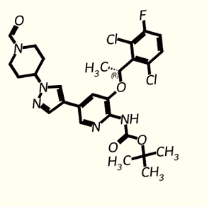 C[C@@H](Oc1cc(-c2cnn(C3CCN(C=O)CC3)c2)cnc1NC(=O)OC(C)(C)C)c1c(Cl)ccc(F)c1Cl